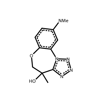 CNc1ccc2c(c1)-n1nnnc1C(C)(O)CO2